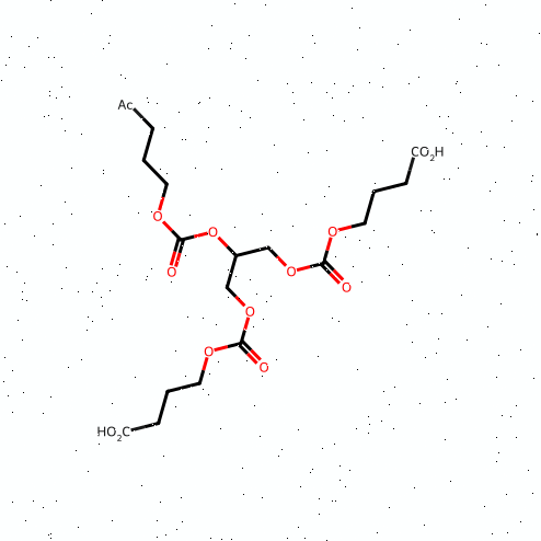 CC(=O)CCCOC(=O)OC(COC(=O)OCCCC(=O)O)COC(=O)OCCCC(=O)O